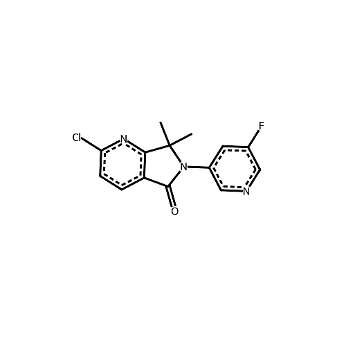 CC1(C)c2nc(Cl)ccc2C(=O)N1c1cncc(F)c1